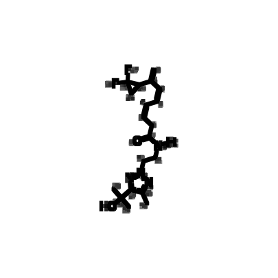 C=C(/C=C\C=C/CC(=O)N(CC)CCn1nc(C)c(C(C)(C)O)n1)C1CC1(F)F